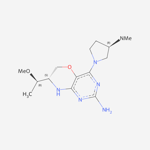 CN[C@@H]1CCN(c2nc(N)nc3c2OC[C@@H]([C@@H](C)OC)N3)C1